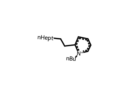 CCCCCCCCCc1cccc[n+]1CCCC